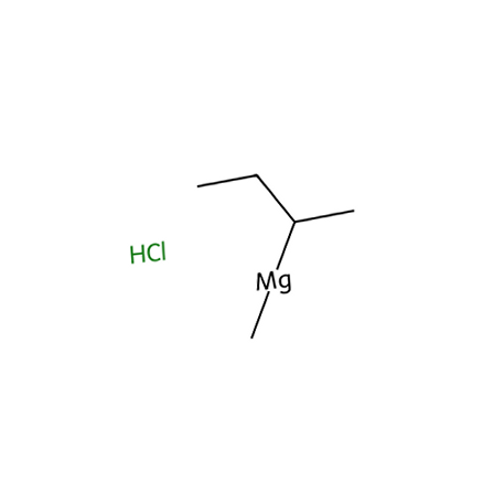 CC[CH](C)[Mg][CH3].Cl